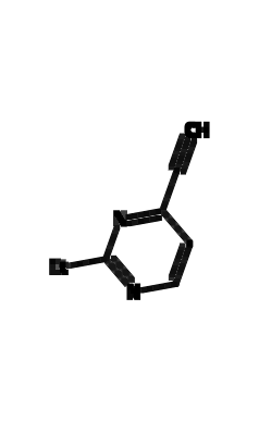 C#Cc1ccnc(CC)n1